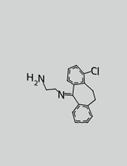 NCCN=C1c2ccccc2CCc2c(Cl)cccc21